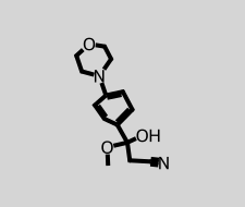 COC(O)(CC#N)c1ccc(N2CCOCC2)cc1